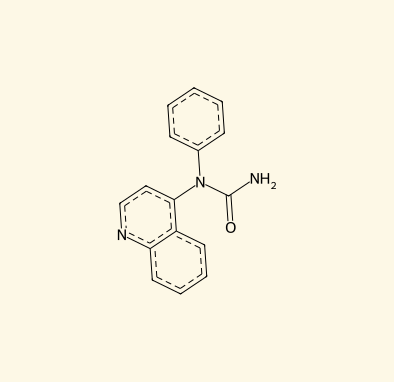 NC(=O)N(c1ccccc1)c1ccnc2ccccc12